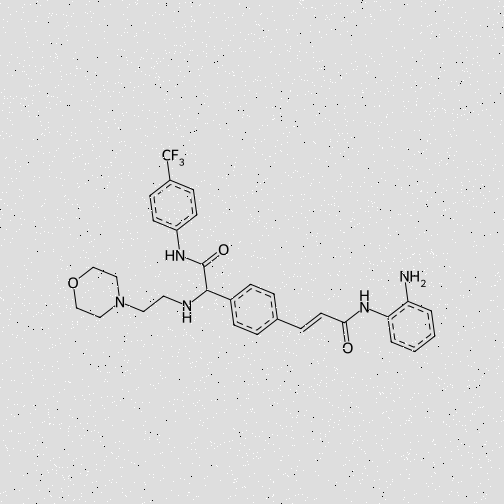 Nc1ccccc1NC(=O)C=Cc1ccc(C(NCCN2CCOCC2)C(=O)Nc2ccc(C(F)(F)F)cc2)cc1